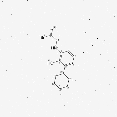 CC(C)C(Br)CNc1cccc(C2CCCCC2)c1O